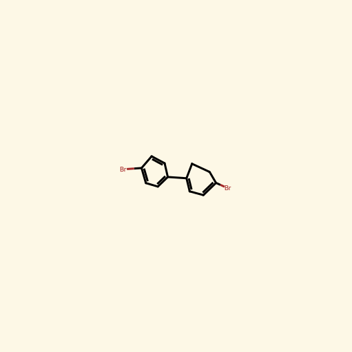 BrC1=CC=C(c2ccc(Br)cc2)CC1